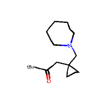 CC(C)(C)C(=O)CC1(CN2CCCCC2)CC1